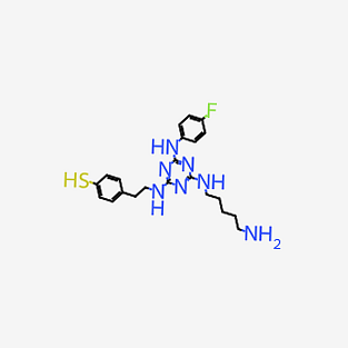 NCCCCCNc1nc(NCCc2ccc(S)cc2)nc(Nc2ccc(F)cc2)n1